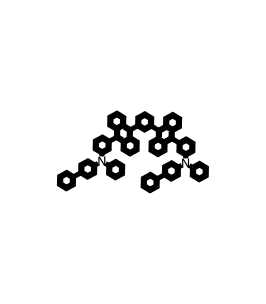 c1ccc(-c2ccc(N(c3ccccc3)c3cccc(-c4c5ccccc5c(-c5cccc(-c6c7ccccc7c(-c7cccc(N(c8ccccc8)c8ccc(-c9ccccc9)cc8)c7)c7ccccc67)c5)c5ccccc45)c3)cc2)cc1